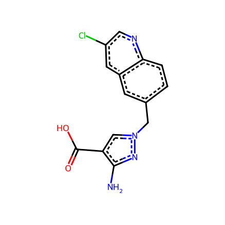 Nc1nn(Cc2ccc3ncc(Cl)cc3c2)cc1C(=O)O